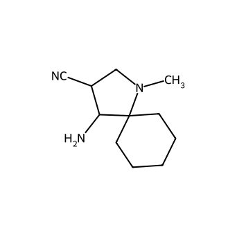 CN1CC(C#N)C(N)C12CCCCC2